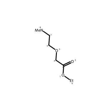 CCOC(=O)COCCNC